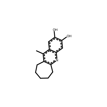 Cc1c2c(nc3cc(O)c(O)cc13)CCCCC2